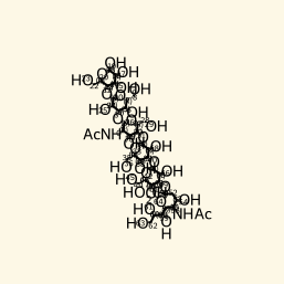 CC(=O)N[C@H]1[C@H](O[C@H]2[C@@H](O)[C@@H](CO)O[C@@H](O[C@H]3[C@H](O)[C@@H](O)[C@H](O)O[C@@H]3CO)[C@@H]2O)O[C@H](CO)[C@@H](O[C@@H]2O[C@H](CO)[C@H](O)[C@H](O[C@@H]3O[C@H](CO)[C@H](O)[C@H](O[C@]4(C(=O)O)C[C@H](O)[C@@H](NC(C)=O)[C@H]([C@H](O)[C@H](O)CO)O4)[C@H]3O)[C@H]2O)[C@@H]1O